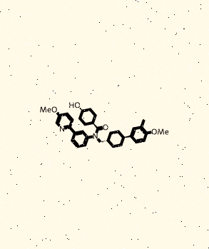 COc1ccc(-c2cccc(N(C[C@H]3CC[C@H](c4ccc(OC)c(C)c4)CC3)C(=O)[C@H]3CC[C@H](O)CC3)c2)nc1